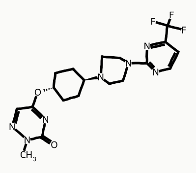 Cn1ncc(O[C@H]2CC[C@H](N3CCN(c4nccc(C(F)(F)F)n4)CC3)CC2)nc1=O